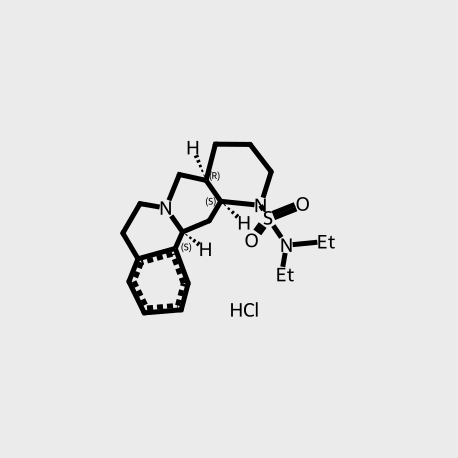 CCN(CC)S(=O)(=O)N1CCC[C@@H]2CN3CCc4ccccc4[C@@H]3C[C@@H]21.Cl